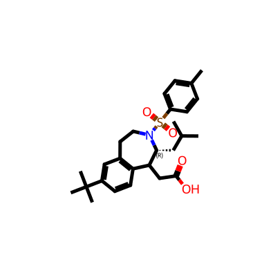 Cc1ccc(S(=O)(=O)N2CCc3cc(C(C)(C)C)ccc3C(CC(=O)O)[C@H]2CC(C)C)cc1